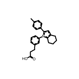 Cc1ccc(-c2cc3c(n2-c2cccc(CCC(=O)O)c2)CCCC3)cc1